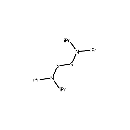 CC(C)N(SSN(C(C)C)C(C)C)C(C)C